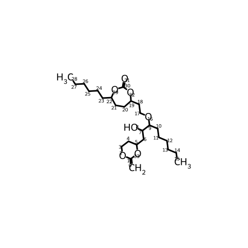 C=C1OCCC(CC(O)C(CCCCCC)OCCC2CCC(CCCCCC)OC(=O)O2)O1